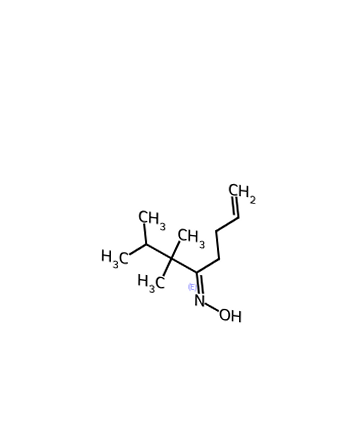 C=CCC/C(=N\O)C(C)(C)C(C)C